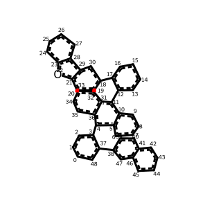 c1ccc(-c2c3ccccc3c(-c3ccccc3-c3ccc4oc5ccccc5c4c3)c3ccccc23)c(-c2ccc3ccccc3c2)c1